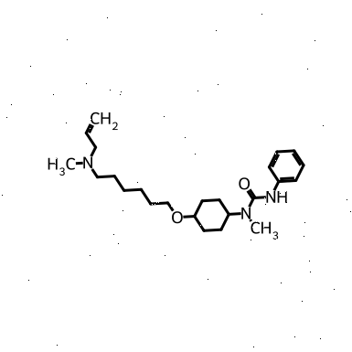 C=CCN(C)CCCCCCOC1CCC(N(C)C(=O)Nc2ccccc2)CC1